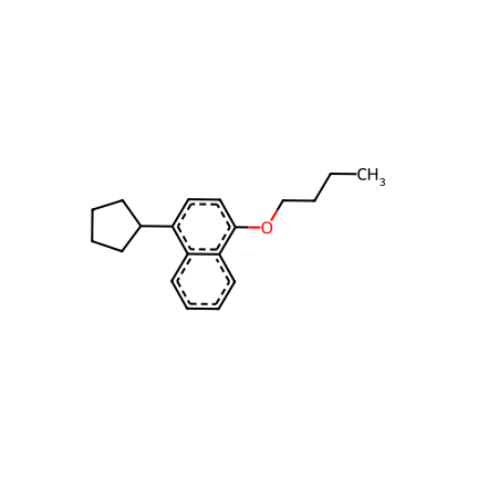 CCCCOc1ccc(C2CCCC2)c2ccccc12